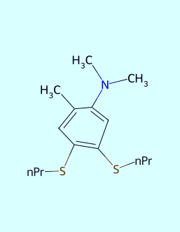 CCCSc1cc(C)c(N(C)C)cc1SCCC